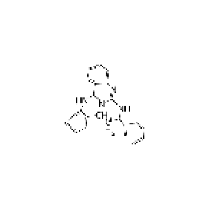 Cc1ccccc1Nc1nc(NC(C)c2ccccc2)nc2ccccc12